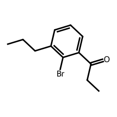 CCCc1cccc(C(=O)CC)c1Br